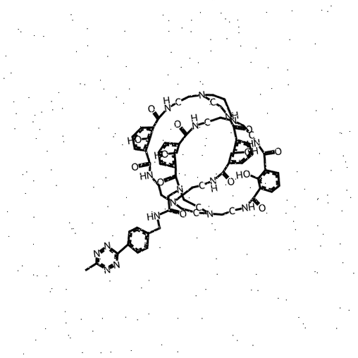 Cc1nnc(-c2ccc(CNC(=O)CN3CCN4CCNC(=O)c5cccc(c5O)C(=O)NCCN(CCNC(=O)c5cccc(c5O)C3=O)CCN3CCNC(=O)c5cccc(c5O)C(=O)NCCN(CCNC(=O)c5cccc(c5O)C(=O)NCC3)CC4)cc2)nn1